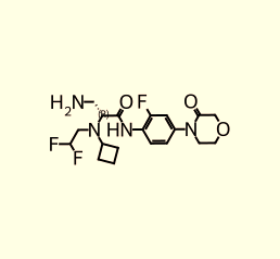 NC[C@H](C(=O)Nc1ccc(N2CCOCC2=O)cc1F)N(CC(F)F)C1CCC1